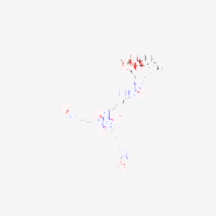 CCCCN(CCC[Si](OC)(OC)OC)C(=O)NCCCCCCn1c(=O)n(CCCCCCN=C=O)c(=O)n(CCCCCCN=C=O)c1=O